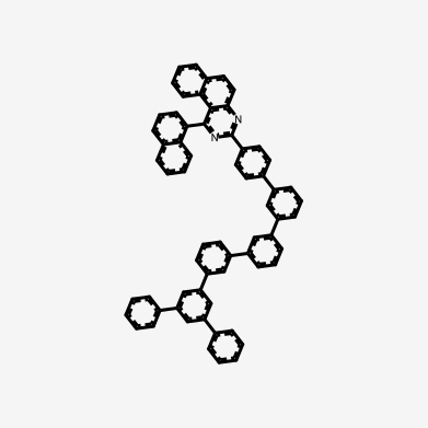 c1ccc(-c2cc(-c3ccccc3)cc(-c3cccc(-c4cccc(-c5cccc(-c6ccc(-c7nc(-c8cccc9ccccc89)c8c(ccc9ccccc98)n7)cc6)c5)c4)c3)c2)cc1